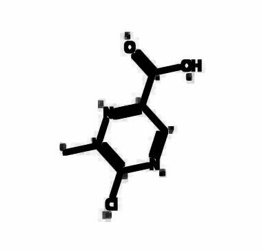 Cc1nc(C(=O)O)cnc1Cl